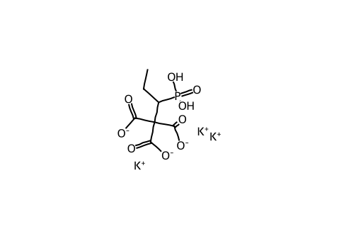 CCC(C(C(=O)[O-])(C(=O)[O-])C(=O)[O-])P(=O)(O)O.[K+].[K+].[K+]